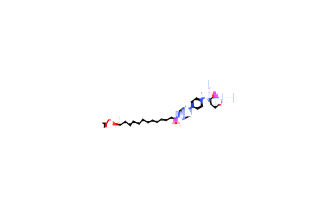 CC(C)(C)OC(=O)CCCCCCCCCCCCC(=O)N1CCN(c2ccc(NC3CCC(=O)NC3=O)cc2)CC1